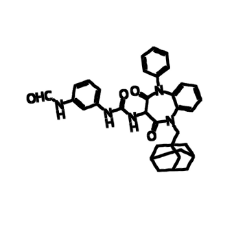 O=CNc1cccc(NC(=O)NC2C(=O)N(CC34CC5CC(CC(C5)C3)C4)c3ccccc3N(c3ccccc3)C2=O)c1